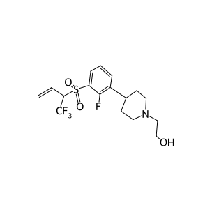 C=CC(C(F)(F)F)S(=O)(=O)c1cccc(C2CCN(CCO)CC2)c1F